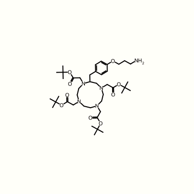 CC(C)(C)OC(=O)CN1CCN(CC(=O)OC(C)(C)C)CCN(CC(=O)OC(C)(C)C)C(Cc2ccc(OCCCN)cc2)CN(CC(=O)OC(C)(C)C)CC1